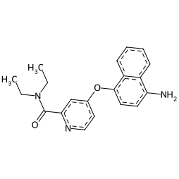 CCN(CC)C(=O)c1cc(Oc2ccc(N)c3ccccc23)ccn1